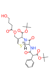 CC(C)(C)OC(=O)C(C(=O)NC1C(=O)N2C(C(=O)OC(C)(C)C)C(COC(=O)CCCO)=CS[C@@H]12)c1ccccc1